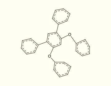 c1ccc(Oc2cc(Oc3ccccc3)c(-c3ccccc3)cc2-c2ccccc2)cc1